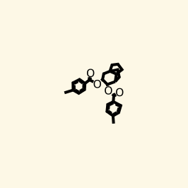 Cc1ccc(C(=O)OC2CC34CCCC3C(CC4)C2OC(=O)c2ccc(C)cc2)cc1